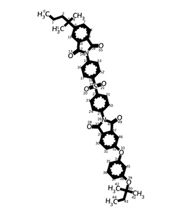 CCCC(C)(C)c1ccc2c(c1)C(=O)N(c1ccc(S(=O)(=O)c3ccc(N4C(=O)c5ccc(Oc6cccc(OC(C)(C)CC)c6)cc5C4=O)cc3)cc1)C2=O